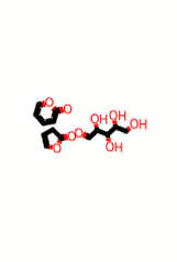 O=C1CC=CO1.O=CC(O)C(O)C(O)CO.O=c1cccco1